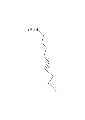 CCCCCCCCC/C=C/C[C]=S